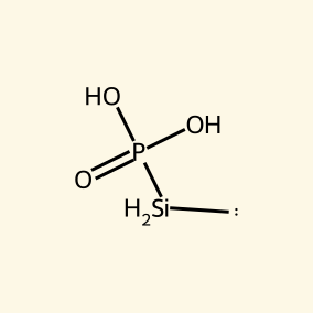 [CH][SiH2]P(=O)(O)O